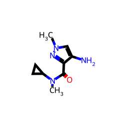 CN(C(=O)c1nn(C)cc1N)C1CC1